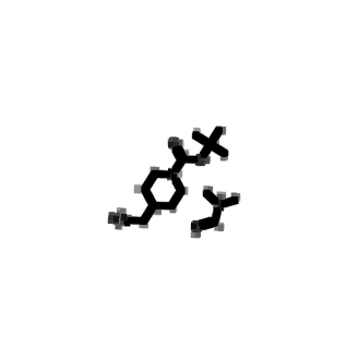 CC(C)(C)OC(=O)N1CCC(CN)CC1.CN(C)C=O